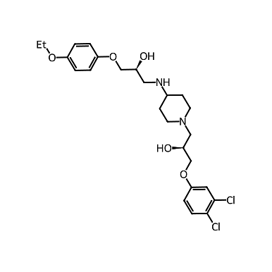 CCOc1ccc(OC[C@@H](O)CNC2CCN(C[C@H](O)COc3ccc(Cl)c(Cl)c3)CC2)cc1